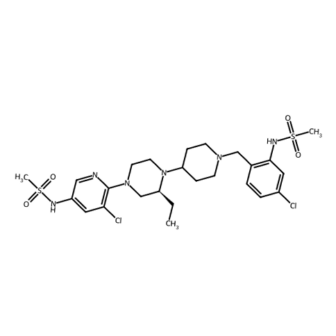 CC[C@H]1CN(c2ncc(NS(C)(=O)=O)cc2Cl)CCN1C1CCN(Cc2ccc(Cl)cc2NS(C)(=O)=O)CC1